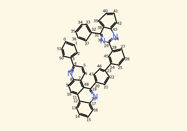 c1ccc(-c2ccc3c(ccc4c5ccccc5nc(-c5ccc(-c6cccc(-c7nc(-c8ccccc8)c8ccccc8n7)c6)cc5)c34)n2)cc1